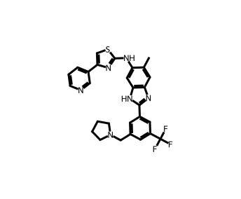 Cc1cc2nc(-c3cc(CN4CCCC4)cc(C(F)(F)F)c3)[nH]c2cc1Nc1nc(-c2cccnc2)cs1